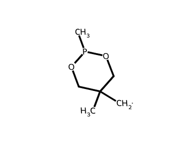 [CH2]C1(C)COP(C)OC1